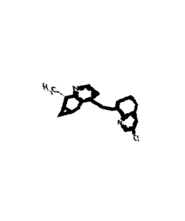 C[C@@H]1c2nccc(CC3CCCc4cc(Cl)cnc43)c2CC2CC21